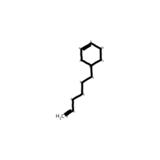 C=CCCCCC1CC=CCC1